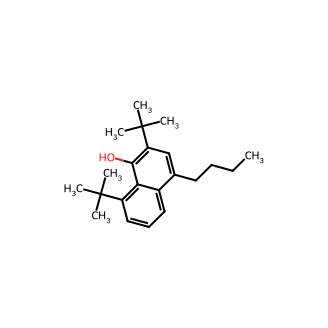 CCCCc1cc(C(C)(C)C)c(O)c2c(C(C)(C)C)cccc12